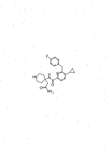 NC(=O)CC1(NC(=O)c2ccc(C3CC3)c(Cc3ccc(F)cc3)n2)CCNCC1